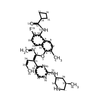 C=N/C(Oc1c(C)ccc2c(NC(=O)C3CCC3)c(F)ccc12)=C(\C=C/C)c1ccnc(N[C@@H]2CNC[C@H](C)C2)n1